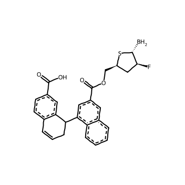 B[C@H]1S[C@H](COC(=O)c2cc(C3CC=Cc4ccc(C(=O)O)cc43)c3ccccc3c2)C[C@@H]1F